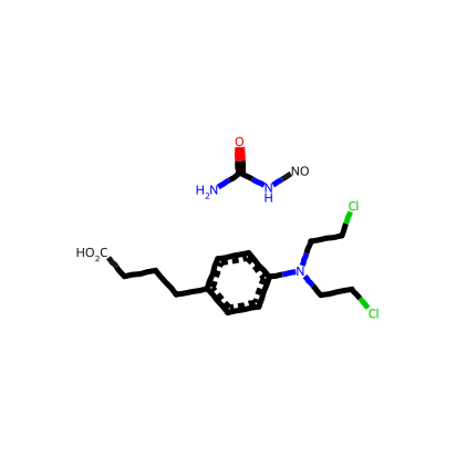 NC(=O)NN=O.O=C(O)CCCc1ccc(N(CCCl)CCCl)cc1